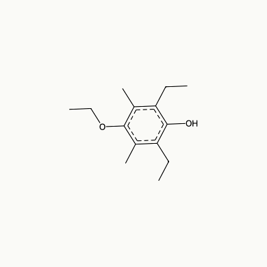 CCOc1c(C)c(CC)c(O)c(CC)c1C